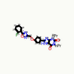 CCCn1c(=O)c2[nH]c(-c3ccc(OCc4noc(-c5ccccc5F)n4)cc3)nc2n(CCC)c1=O